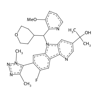 COc1cccnc1C(C1CCOCC1)n1c2cc(-c3c(C)nnn3C)c(F)cc2c2ncc(C(C)(C)O)cc21